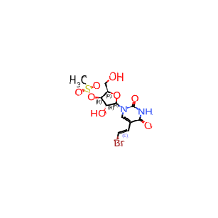 CS(=O)(=O)O[C@@H]1[C@@H](O)[C@H](n2cc(/C=C/Br)c(=O)[nH]c2=O)O[C@@H]1CO